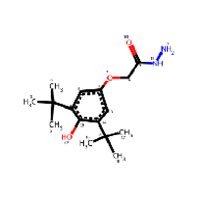 CC(C)(C)c1cc(OCC(=O)NN)cc(C(C)(C)C)c1O